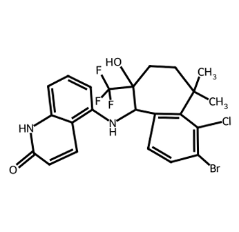 CC1(C)CCC(O)(C(F)(F)F)C(Nc2cccc3[nH]c(=O)ccc23)c2ccc(Br)c(Cl)c21